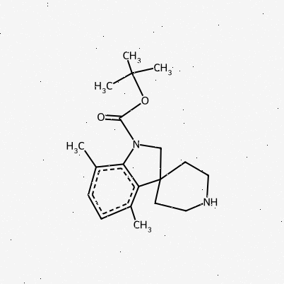 Cc1ccc(C)c2c1N(C(=O)OC(C)(C)C)CC21CCNCC1